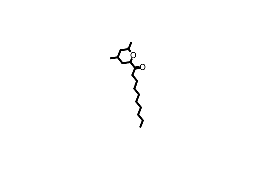 CCCCCCCCCC(=O)C1CC(C)CC(C)O1